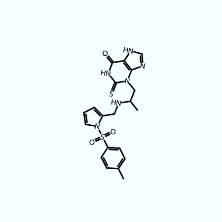 Cc1ccc(S(=O)(=O)n2cccc2CNC(C)Cn2c(=S)[nH]c(=O)c3[nH]cnc32)cc1